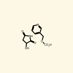 O=C(O)OCc1cccnc1.O=C1CC(O)C(=O)N1